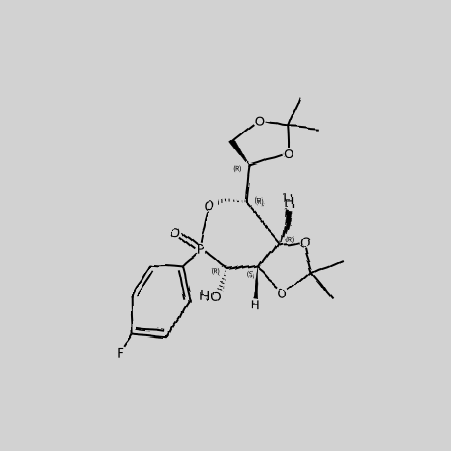 CC1(C)O[C@H]2[C@@H]([C@H]3COC(C)(C)O3)OP(=O)(c3ccc(F)cc3)[C@@H](O)[C@H]2O1